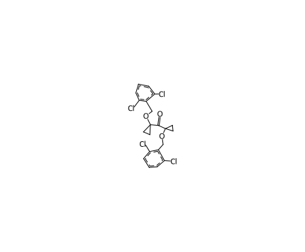 O=C(C1(OCc2c(Cl)cccc2Cl)CC1)C1(OCc2c(Cl)cccc2Cl)CC1